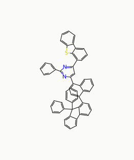 c1ccc(-c2nc(-c3ccc(-c4cccc5c4C(c4ccccc4)(c4ccccc4)c4ccccc4-5)c4ccccc34)cc(-c3cccc4c3sc3ccccc34)n2)cc1